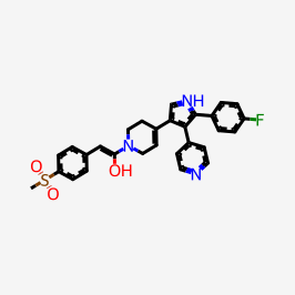 CS(=O)(=O)c1ccc(C=C(O)N2CC=C(c3c[nH]c(-c4ccc(F)cc4)c3-c3ccncc3)CC2)cc1